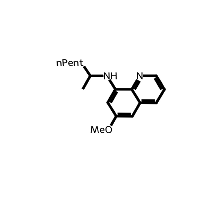 CCCCCC(C)Nc1cc(OC)cc2cccnc12